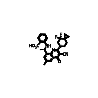 Cc1cc([C@@H](C)Nc2ccccc2C(=O)O)c2nc(N3CCC4(CC4)C(F)(F)C3)c(C#N)c(=O)n2c1